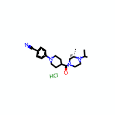 CC(C)N1CCN(C(=O)C2CCN(c3ccc(C#N)cc3)CC2)C[C@@H]1C.Cl